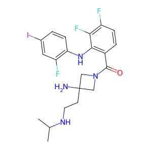 CC(C)NCCC1(N)CN(C(=O)c2ccc(F)c(F)c2Nc2ccc(I)cc2F)C1